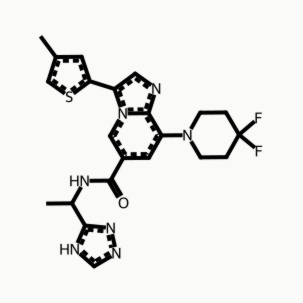 Cc1csc(-c2cnc3c(N4CCC(F)(F)CC4)cc(C(=O)NC(C)c4nnc[nH]4)cn23)c1